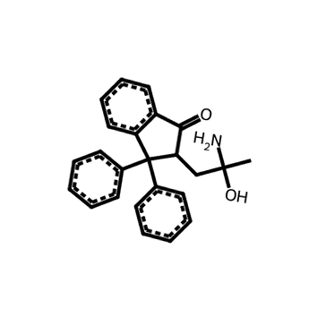 CC(N)(O)CC1C(=O)c2ccccc2C1(c1ccccc1)c1ccccc1